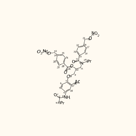 CCCC(=O)Nc1ccc(OCC(CN(C(=O)c2ccc(CO[N+](=O)[O-])cc2)C(C)C)OC(=O)c2ccc(CO[N+](=O)[O-])cc2)c(C(C)=O)c1